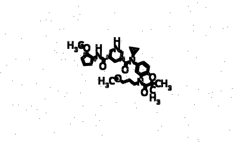 COCCCN1C(=O)C(C)(C)Oc2ccc(N(C(=O)[C@H]3CNC[C@@H](C(=O)N[C@H]4CCC[C@@H]4OC)C3)C3CC3)cc21